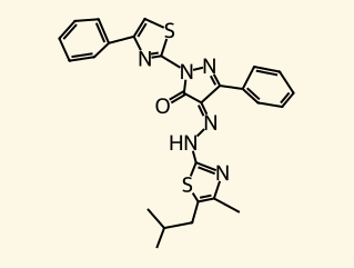 Cc1nc(NN=C2C(=O)N(c3nc(-c4ccccc4)cs3)N=C2c2ccccc2)sc1CC(C)C